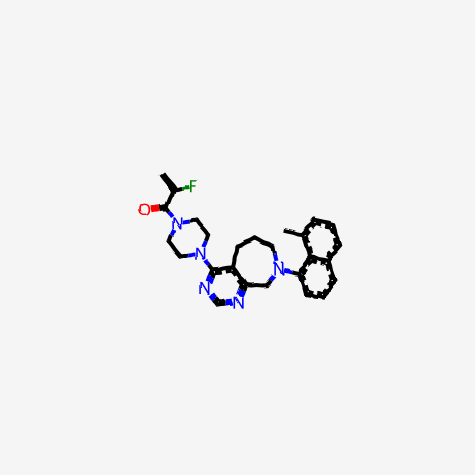 C=C(F)C(=O)N1CCN(c2ncnc3c2CCCN(c2cccc4cccc(C)c24)C3)CC1